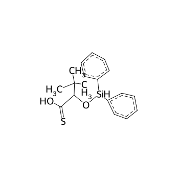 CC(C)(C)C(O[SiH](c1ccccc1)c1ccccc1)C(O)=S